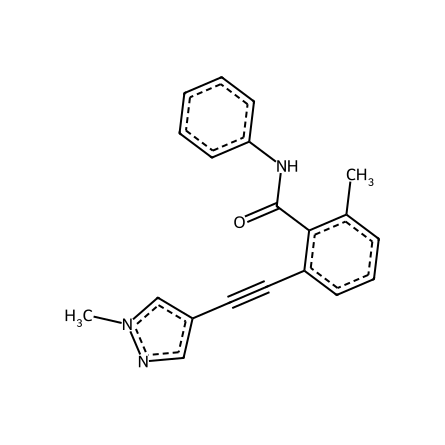 Cc1cccc(C#Cc2cnn(C)c2)c1C(=O)Nc1ccccc1